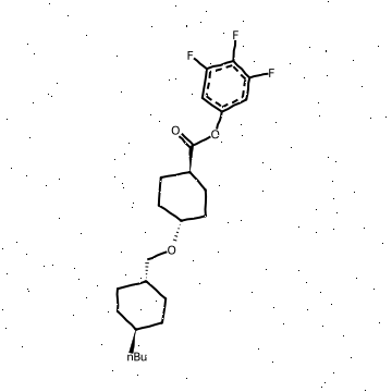 CCCC[C@H]1CC[C@H](CO[C@H]2CC[C@H](C(=O)Oc3cc(F)c(F)c(F)c3)CC2)CC1